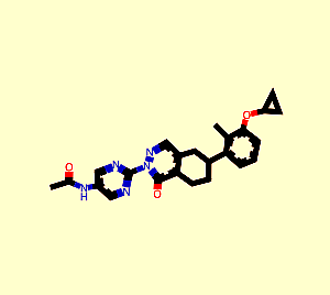 CC(=O)Nc1cnc(-n2ncc3c(c2=O)CCC(c2cccc(OC4CC4)c2C)C3)nc1